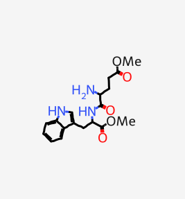 COC(=O)CCC(N)C(=O)NC(Cc1c[nH]c2ccccc12)C(=O)OC